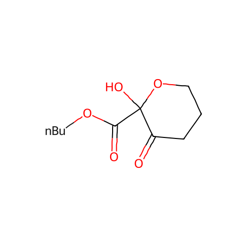 CCCCOC(=O)C1(O)OCCCC1=O